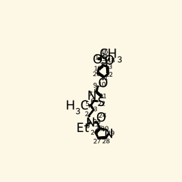 CCN(CCC(C)c1nc(COc2ccc(S(C)(=O)=O)cc2)cs1)C(=O)c1cccnc1